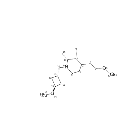 C[C@@H]1C(CCOC(C)(C)C)CCN(C[C@H]2C[C@H](OC(C)(C)C)C2)[C@@H]1C